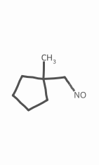 CC1(CN=O)CCCC1